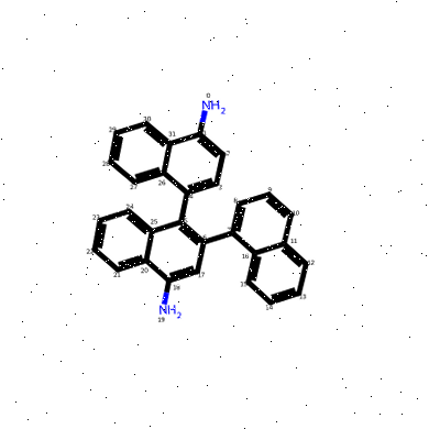 Nc1ccc(-c2c(-c3cccc4ccccc34)cc(N)c3ccccc23)c2ccccc12